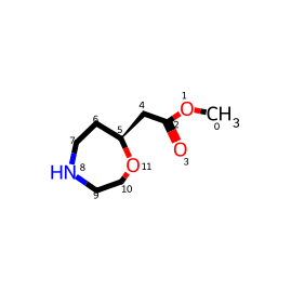 COC(=O)C[C@@H]1CCNCCO1